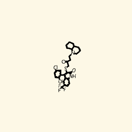 O=C(CCN1CCCC2CCCCC21)CSc1c(-c2cc(Cl)ccc2O)c2cc(C(F)(F)F)ccc2[nH]c1=O